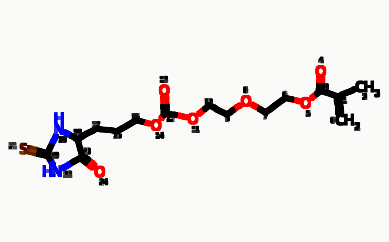 C=C(C)C(=O)OCCOCCOC(=O)OCCCC1NC(=S)NC1=O